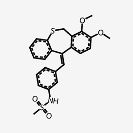 COc1ccc2c(c1OC)CSc1ccccc1/C2=C\c1cccc(NS(C)(=O)=O)c1